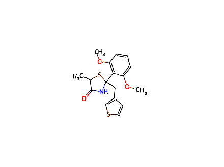 COc1cccc(OC)c1C1(Cc2ccsc2)NC(=O)C(C)S1